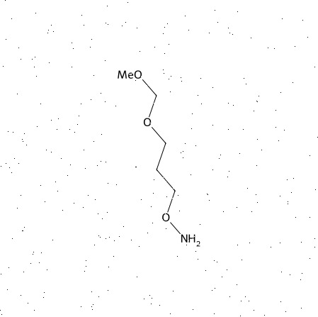 COCOCCCON